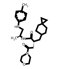 Cc1ccc(NC[C@H](C)NC(=O)[C@@H](CC(=O)N2CCOCC2)CC2CCC3(CC2)CC3)cc1